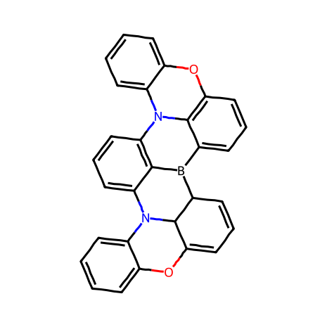 C1=CC2B3c4cccc5c4N(c4ccccc4O5)c4cccc(c43)N3c4ccccc4OC(=C1)C23